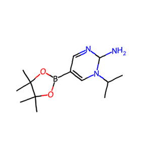 CC(C)N1C=C(B2OC(C)(C)C(C)(C)O2)C=NC1N